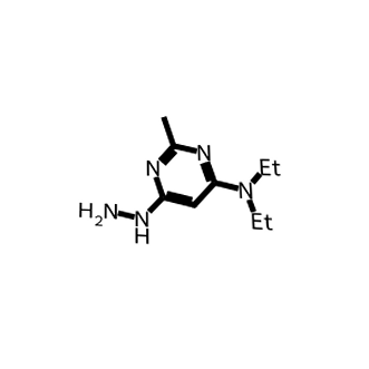 CCN(CC)c1cc(NN)nc(C)n1